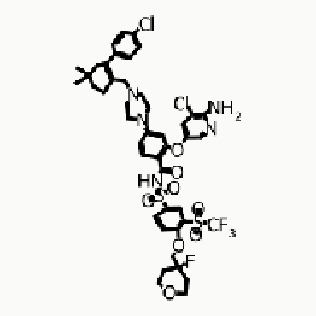 CC1(C)CCC(CN2CCN(c3ccc(C(=O)NS(=O)(=O)c4ccc(OCC5(F)CCOCC5)c(S(=O)(=O)C(F)(F)F)c4)c(Oc4cnc(N)c(Cl)c4)c3)CC2)=C(c2ccc(Cl)cc2)C1